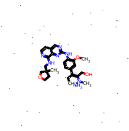 CC/C(=C(/CO)N(C)N)c1ccc(Nc2ncc3ccnc(NCC4(C)CCOC4)c3n2)c(OC)c1